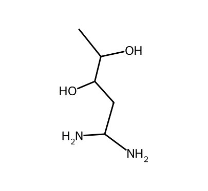 CC(O)C(O)CC(N)N